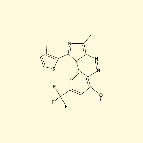 COc1cc(C(F)(F)F)cc2c1nnc1c(C)nc(-c3sccc3C)n12